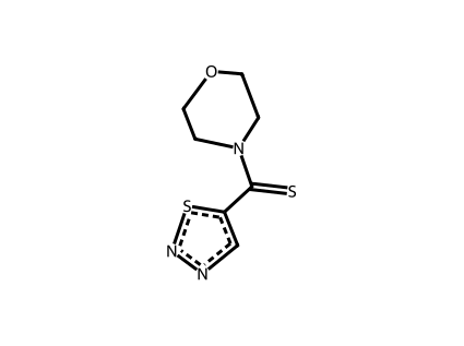 S=C(c1cnns1)N1CCOCC1